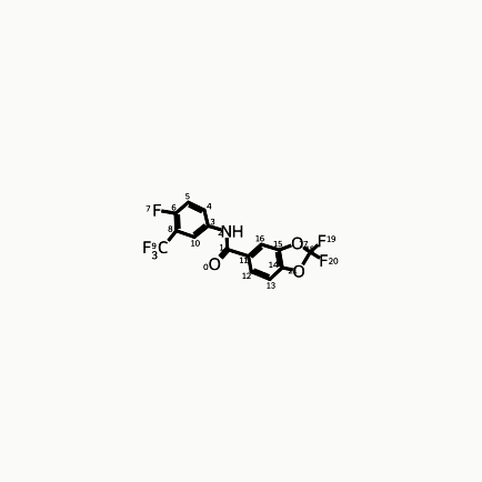 O=C(Nc1ccc(F)c(C(F)(F)F)c1)c1ccc2c(c1)OC(F)(F)O2